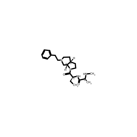 CC[C@H](NC(=O)[C@H](C)NC)C(=O)N1CC[C@H]2CCN(CCc3ccccc3)C[C@H]21